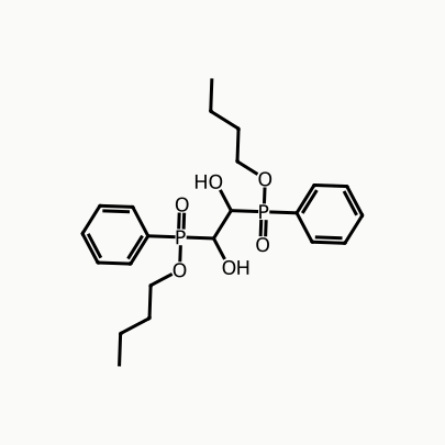 CCCCOP(=O)(c1ccccc1)C(O)C(O)P(=O)(OCCCC)c1ccccc1